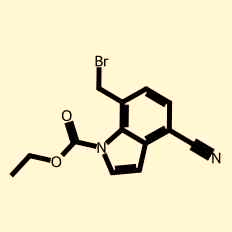 CCOC(=O)n1ccc2c(C#N)ccc(CBr)c21